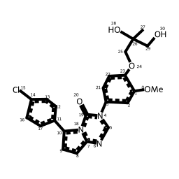 COc1cc(-n2cnc3ccc(-c4ccc(Cl)cc4)n3c2=O)ccc1OCC(C)(O)CO